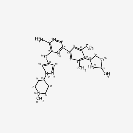 Cc1cc(-c2cnc(N)c(Oc3cnn(C4CCN(C)CC4)c3)n2)cc(C)c1C1COC(O)N1